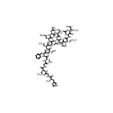 CC[C@H](C)[C@H](NC(=O)[C@@H](NC(=O)[C@H](CC(N)=O)NC(=O)[C@H](CCSC)NC(=O)[C@H](CCC(=O)O)NC(=O)[C@H](CC(=O)O)NC(=O)[C@H](CO)NC(=O)[C@H](Cc1ccccc1)NC(=O)[C@H](CO)NC(=O)CNC(=O)[C@H](CC(=O)O)NC(=O)CNC(=O)[C@@H](N)Cc1c[nH]cn1)[C@@H](C)O)C(=O)N[C@@H](CC(C)C)C(=O)N[C@@H](CC(=O)O)C(=O)N[C@@H](CC(N)=O)C(=O)N[C@@H](CC(C)C)C(=O)O